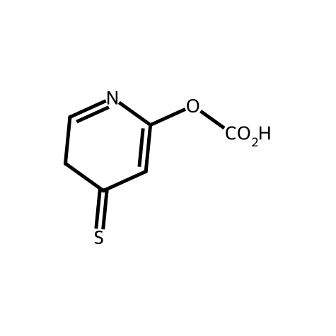 O=C(O)OC1=CC(=S)CC=N1